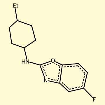 CCC1CCC(Nc2nc3cc(F)ccc3o2)CC1